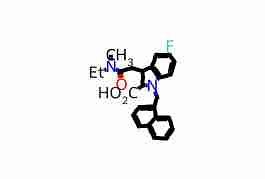 CCN(C)C(=O)CC1c2cc(F)ccc2N(Cc2cccc3ccccc23)C1C(=O)O